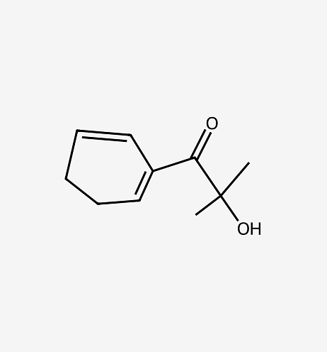 CC(C)(O)C(=O)C1=CCCC=C1